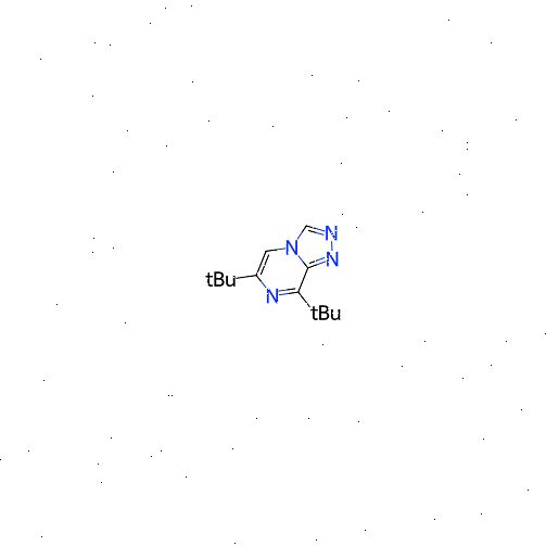 CC(C)(C)c1cn2cnnc2c(C(C)(C)C)n1